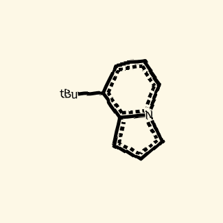 CC(C)(C)c1cccn2cccc12